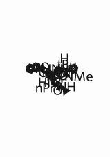 CCCC(NC(=O)N1C[C@@H](OC(=O)N2CCc3ccccc3C2)C[C@@H]1C(=O)N[C@H](C(=O)N[C@H](C(=O)NC)C1CCCCC1)C(C)(C)C)C(=O)C(=O)NC1CC1